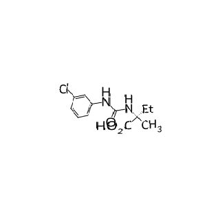 CC[C@@](C)(NC(=O)Nc1cccc(Cl)c1)C(=O)O